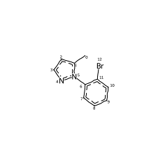 Cc1[c]cnn1-c1ccccc1Br